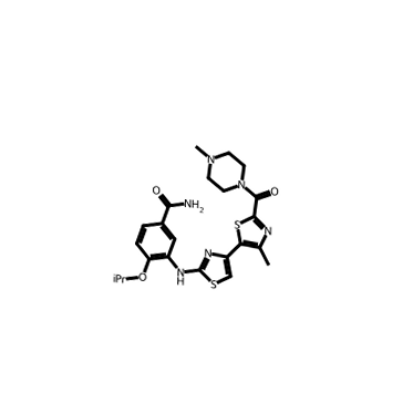 Cc1nc(C(=O)N2CCN(C)CC2)sc1-c1csc(Nc2cc(C(N)=O)ccc2OC(C)C)n1